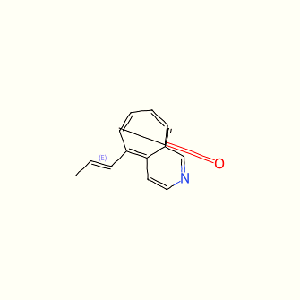 C/C=C/C1=C2C=CN=CC23CC(=O)C=CC3=CC=C1